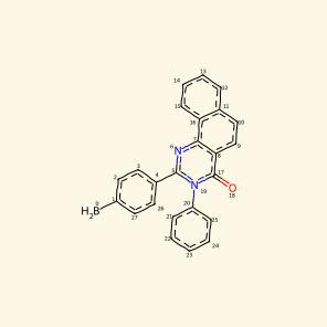 Bc1ccc(-c2nc3c(ccc4ccccc43)c(=O)n2-c2ccccc2)cc1